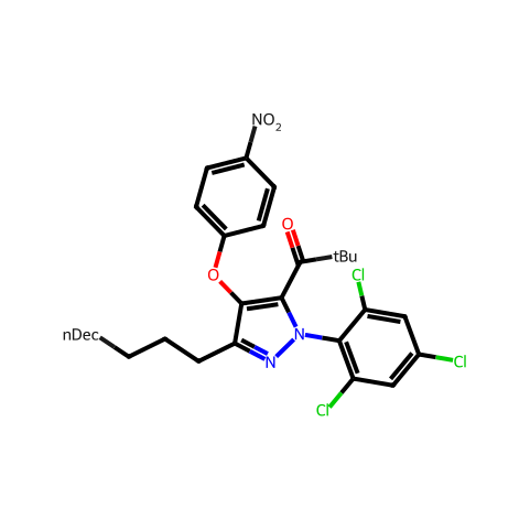 CCCCCCCCCCCCCc1nn(-c2c(Cl)cc(Cl)cc2Cl)c(C(=O)C(C)(C)C)c1Oc1ccc([N+](=O)[O-])cc1